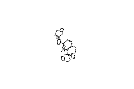 c1cc2c(nc1O[C@H]1CCOC1)C1(CCOC1)OCC2